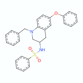 O=S(=O)(NC1Cc2cc(Oc3ccccc3)ccc2N(Cc2ccccc2)C1)c1ccccc1